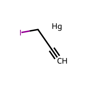 C#CCI.[Hg]